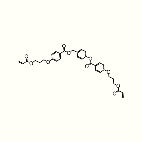 C=CC(=O)OCCCOc1ccc(C(=O)OCc2ccc(OC(=O)c3ccc(OCCCOC(=O)C=C)cc3)cc2)cc1